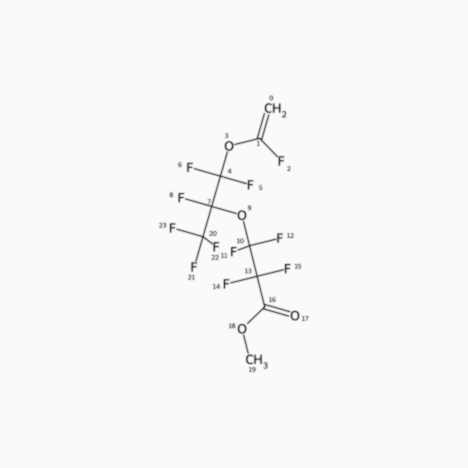 C=C(F)OC(F)(F)C(F)(OC(F)(F)C(F)(F)C(=O)OC)C(F)(F)F